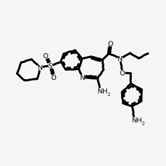 CCCN(OCc1ccc(N)cc1)C(=O)C1=Cc2ccc(S(=O)(=O)N3CCCCC3)cc2N=C(N)C1